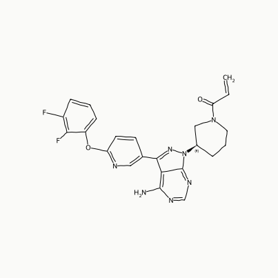 C=CC(=O)N1CCC[C@@H](n2nc(-c3ccc(Oc4cccc(F)c4F)nc3)c3c(N)ncnc32)C1